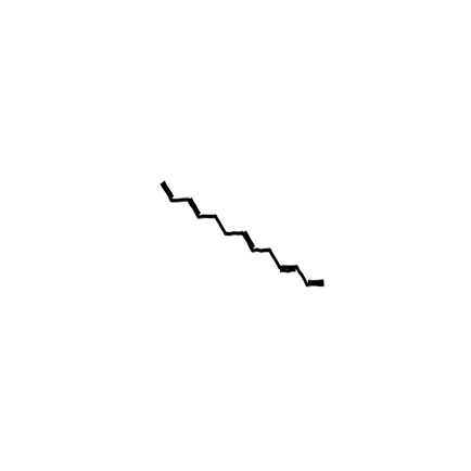 C=CC=CCC=CCCC=CC=C